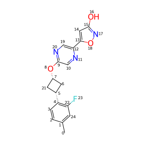 Cc1ccc([C@H]2C[C@@H](Oc3cnc(-c4cc(O)no4)cn3)C2)c(F)c1